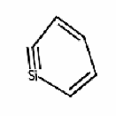 c1cccc[si]#1